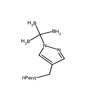 BC(B)(B)n1cc(CCCCCC)cn1